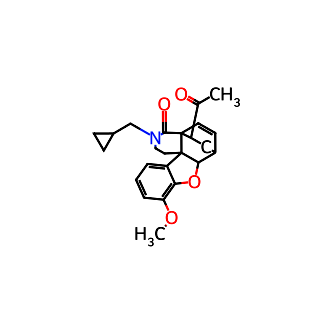 COc1cccc2c1OC1C3C=CC4(C(=O)N(CC5CC5)CCC214)C(C(C)=O)C3